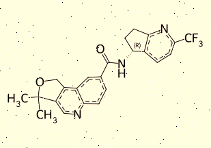 CC1(C)OCc2c1cnc1ccc(C(=O)N[C@@H]3CCc4nc(C(F)(F)F)ccc43)cc21